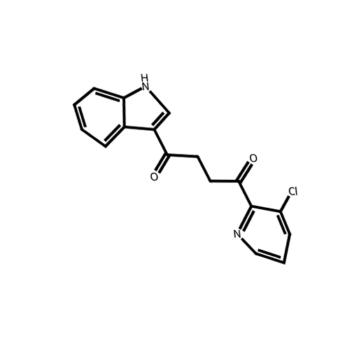 O=C(CCC(=O)c1c[nH]c2ccccc12)c1ncccc1Cl